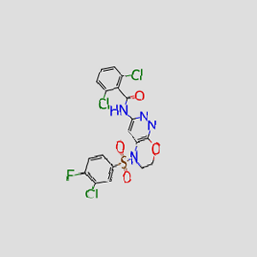 O=C(Nc1cc2c(nn1)OCCN2S(=O)(=O)c1ccc(F)c(Cl)c1)c1c(Cl)cccc1Cl